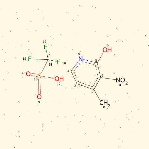 Cc1ccnc(O)c1[N+](=O)[O-].O=S(=O)(O)C(F)(F)F